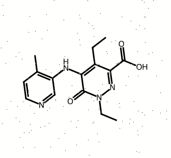 CCc1c(C(=O)O)nn(CC)c(=O)c1Nc1cnccc1C